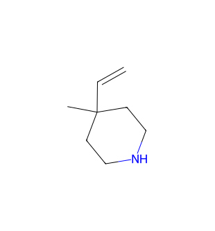 C=CC1(C)CCNCC1